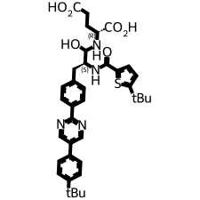 CC(C)(C)c1ccc(-c2cnc(-c3ccc(C[C@H](NC(=O)c4ccc(C(C)(C)C)s4)C(O)N[C@H](CCC(=O)O)C(=O)O)cc3)nc2)cc1